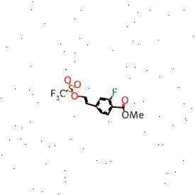 COC(=O)c1ccc(C=COS(=O)(=O)C(F)(F)F)cc1F